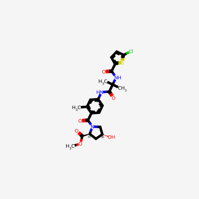 COC(=O)[C@@H]1C[C@@H](O)CN1C(=O)c1ccc(NC(=O)C(C)(C)NC(=O)c2ccc(Cl)s2)cc1C